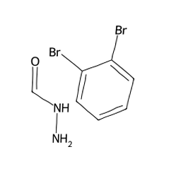 Brc1ccccc1Br.NNC=O